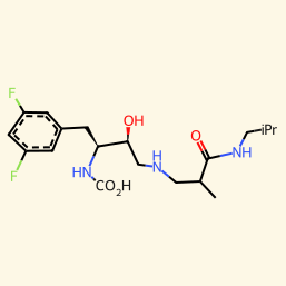 CC(C)CNC(=O)C(C)CNC[C@H](O)[C@H](Cc1cc(F)cc(F)c1)NC(=O)O